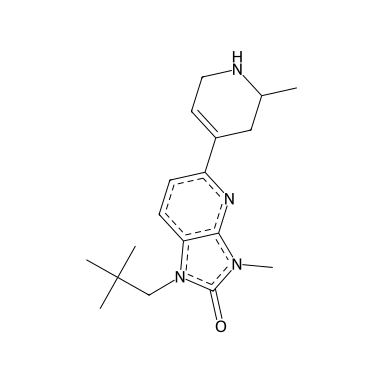 CC1CC(c2ccc3c(n2)n(C)c(=O)n3CC(C)(C)C)=CCN1